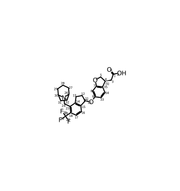 O=C(O)C[C@@H]1COc2cc(O[C@@H]3CCc4c3ccc(C(F)(F)F)c4CN3C4CCCC3CC4)ccc21